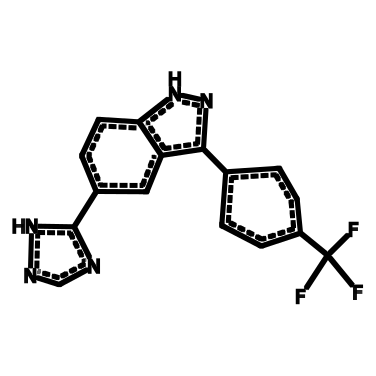 FC(F)(F)c1ccc(-c2n[nH]c3ccc(-c4ncn[nH]4)cc23)cc1